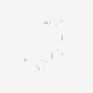 CN(C)c1ccc(C(Br)c2ccc(N(C)C)cc2)cc1